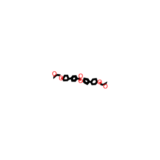 O=C(Oc1ccc(C2CCC(OCC3CO3)CC2)cc1)c1ccc(C2CCC(OCC3CO3)CC2)cc1